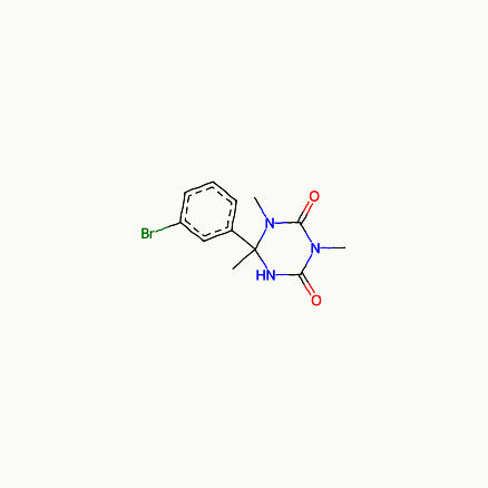 CN1C(=O)NC(C)(c2cccc(Br)c2)N(C)C1=O